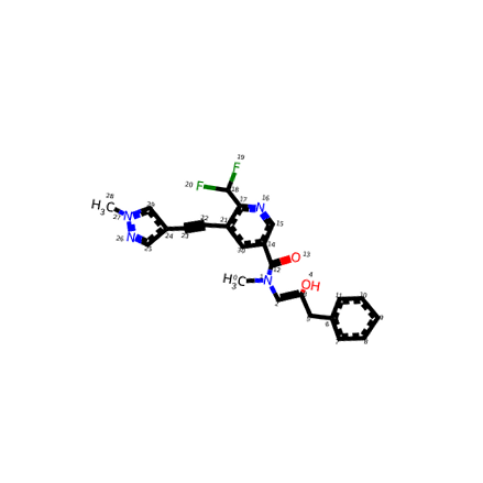 CN(/C=C(\O)Cc1ccccc1)C(=O)c1cnc(C(F)F)c(C#Cc2cnn(C)c2)c1